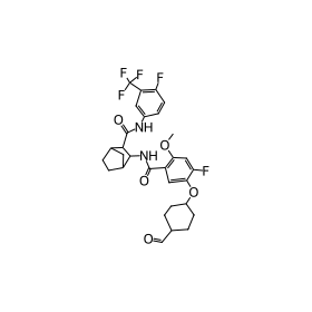 COc1cc(F)c(OC2CCC(C=O)CC2)cc1C(=O)NC1C2CCC(C2)C1C(=O)Nc1ccc(F)c(C(F)(F)F)c1